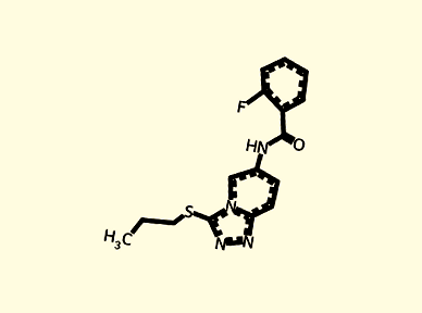 CCCSc1nnc2ccc(NC(=O)c3ccccc3F)cn12